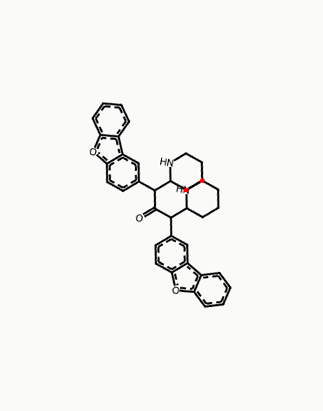 O=C(C(c1ccc2oc3ccccc3c2c1)C1CCCCN1)C(c1ccc2oc3ccccc3c2c1)C1CCCCN1